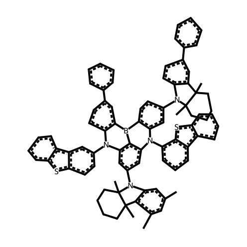 Cc1cc(C)c2c(c1)N(c1cc3c4c(c1)N(c1cccc5c1sc1ccccc15)c1cc(N5c6ccc(-c7ccccc7)cc6C6(C)CCCCC56C)ccc1B4c1cc(-c4ccccc4)ccc1N3c1ccc3sc4ccccc4c3c1)C1(C)CCCCC21C